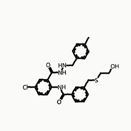 Cc1ccc(CNNC(=O)c2cc(Cl)ccc2NC(=O)c2cccc(CSCCO)c2)cc1